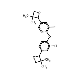 CC1(C)COC1c1ccc(Oc2ccc(C3OCC3(C)C)cc2Cl)c(Cl)c1